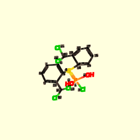 OP(O)(Cl)=S(c1ccccc1C(Cl)Cl)c1ccccc1C(Cl)Cl